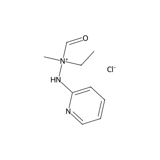 CC[N+](C)(C=O)Nc1ccccn1.[Cl-]